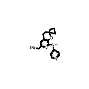 CC(C)(C)Cc1cc2c(c(Nc3ccncc3)n1)OC1(CCC1)CC2